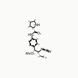 CO[C@H](c1ccc(NC(=O)[C@@H]2CCCN2)cc1)[C@@H](CF)N=[N+]=[N-]